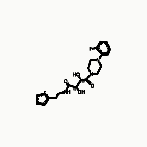 O=C(NCCc1cccs1)[C@H](O)[C@@H](O)C(=O)N1CCN(c2ccccc2F)CC1